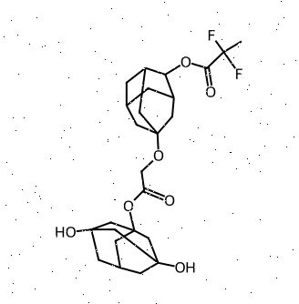 CC(F)(F)C(=O)OC1C2CC3CC1CC(OCC(=O)OC14CC5CC(O)(CC(O)(C5)C1)C4)(C3)C2